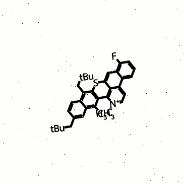 Cc1c2c(c(CC(C)(C)C)c3ccc(CC(C)(C)C)cc13)Sc1cc3c(F)cccc3c3cc[n+](C)c-2c13